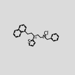 ClN(CC[C@H](CCc1cccc2ccccc12)c1cccs1)Cc1ccccc1